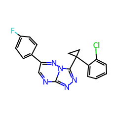 Fc1ccc(-c2cnc3nnc(C4(c5ccccc5Cl)CC4)n3n2)cc1